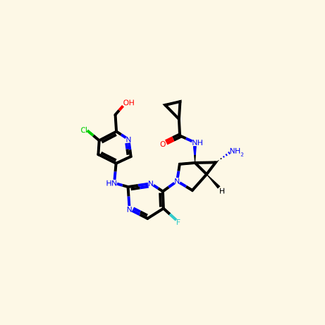 N[C@@H]1[C@@H]2CN(c3nc(Nc4cnc(CO)c(Cl)c4)ncc3F)C[C@]12NC(=O)C1CC1